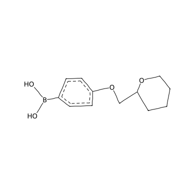 OB(O)c1ccc(OCC2CCCCO2)cc1